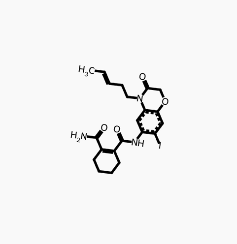 CC=CCCN1C(=O)COc2cc(I)c(NC(=O)C3=C(C(N)=O)CCCC3)cc21